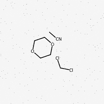 C1COCCO1.CC#N.ClCCl